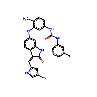 Cc1ccc(NC(=O)Nc2cccc(C(F)(F)F)c2)cc1Nc1ccc2c(c1)NC(=O)/C2=C\c1cc(C#N)c[nH]1